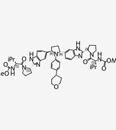 COC(=O)N[C@H](C(=O)N1CCC[C@H]1c1nc2cc([C@H]3CC[C@H](c4ccc5nc([C@@H]6CCCN6C(=O)[C@@H](NC(=O)OC)C(C)C)[nH]c5c4)N3c3ccc(C4CCOCC4)cc3)ccc2[nH]1)C(C)C